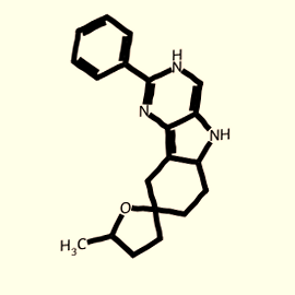 CC1CCC2(CCC3NC4=CNC(c5ccccc5)=NC4=C3C2)O1